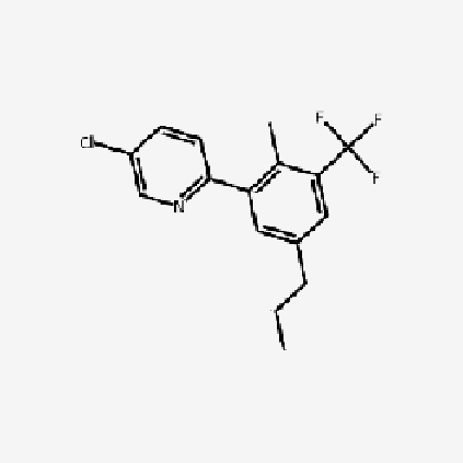 C[CH]Cc1cc(-c2ccc(Cl)cn2)c(C)c(C(F)(F)F)c1